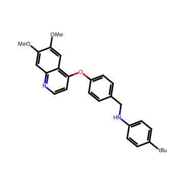 COc1cc2nccc(Oc3ccc(CNc4ccc(C(C)(C)C)cc4)cc3)c2cc1OC